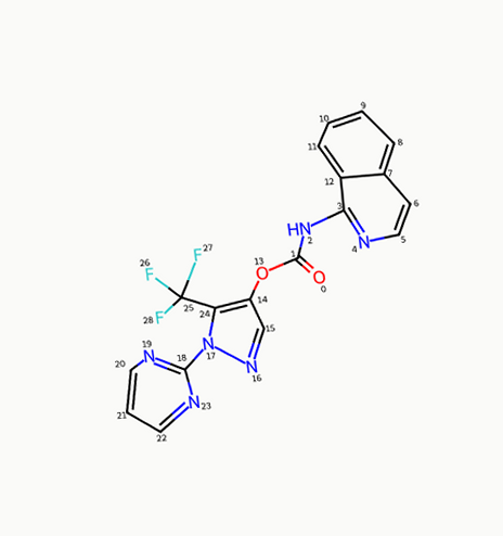 O=C(Nc1nccc2ccccc12)Oc1cnn(-c2ncccn2)c1C(F)(F)F